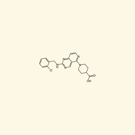 O=C(O)C1CCN(c2nccc3nc(NCc4ccccc4Cl)ncc23)CC1